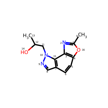 Cc1nc2c(ccc3cnn(CC(C)O)c32)o1